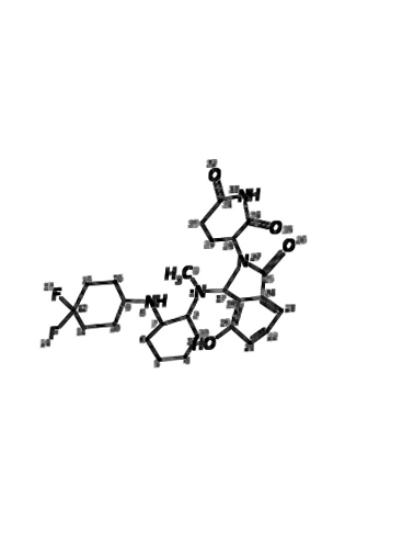 CN(C1CCCCC1NC1CCC(F)(F)CC1)C1c2c(O)cccc2C(=O)N1C1CCC(=O)NC1=O